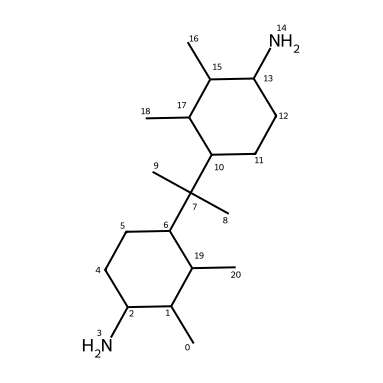 CC1C(N)CCC(C(C)(C)C2CCC(N)C(C)C2C)C1C